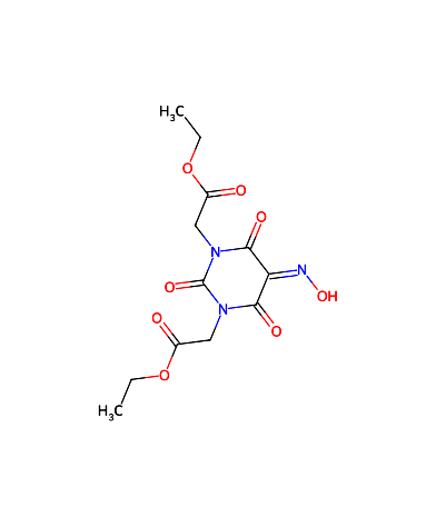 CCOC(=O)CN1C(=O)C(=NO)C(=O)N(CC(=O)OCC)C1=O